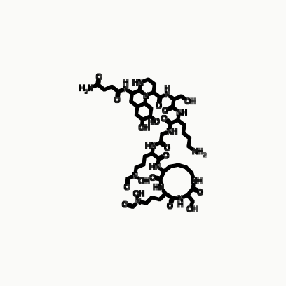 NCCCCC(NC(=O)C(CO)NC(=O)C1CCNC2C(NC(=O)CCC(N)=O)CC3CC(O)C(O)CC3N12)C(=O)NCC(=O)NC(CCCN(O)C=O)C(=O)NC1CCCCNC(=O)C(CO)NC(=O)C(CCCN(O)C=O)NC1=O